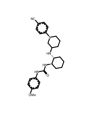 COc1ccc(NC(=O)N[C@@H]2CCCC[C@H]2NC2CCCN(c3ccc(C#N)cc3)C2)cc1